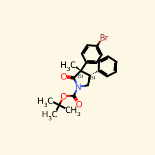 CC(C)(C)OC(=O)N1C[C@@H](c2ccccc2)[C@@](C)(c2ccc(Br)cc2)C1=O